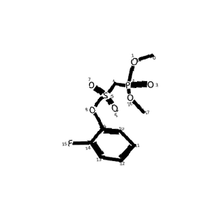 COP(=O)(CS(=O)(=O)Oc1ccccc1F)OC